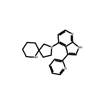 c1ccc(-c2c[nH]c3nccc(N4CCC5(CCCCN5)C4)c23)nc1